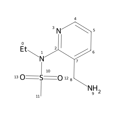 CCN(c1ncccc1CN)S(C)(=O)=O